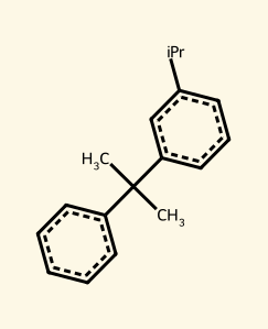 CC(C)c1cccc(C(C)(C)c2ccccc2)c1